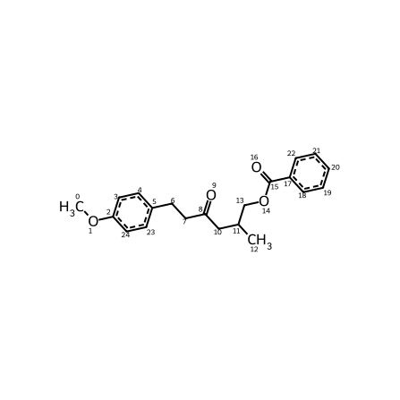 COc1ccc(CCC(=O)CC(C)COC(=O)c2ccccc2)cc1